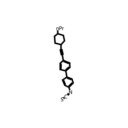 CCCC1CCC(C#Cc2ccc(-c3ccc(N=C=S)cc3)cc2)CC1